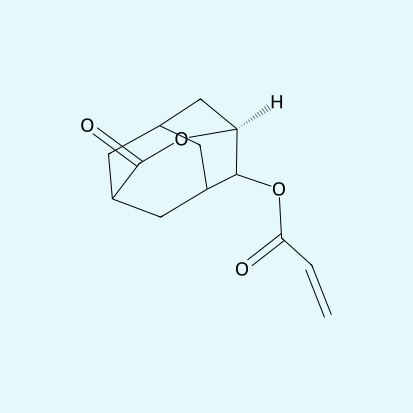 C=CC(=O)OC1C2CC3CC(C2)C(=O)O[C@H]1C3